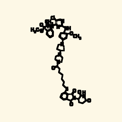 COc1cc(N2CCC(N3CCN(C(=O)CCCCCCSc4cccc5c4C(=O)N(C4CCC(=O)NC4=O)C5=O)CC3)CC2)ccc1Nc1ncc(Cl)c(Nc2ccccc2P(=O)(OC)OC)n1